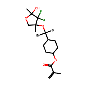 C=C(C)C(=O)OC1CCC(C(CC)(CC)OC2(C)COC(C)(O)C2(F)F)CC1